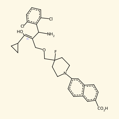 NC(/C(COCC1(F)CCN(c2ccc3cc(C(=O)O)ccc3c2)CC1)=C(\O)C1CC1)c1c(Cl)cccc1Cl